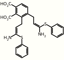 NC(=CCc1ccc(C(=O)O)c(C(=O)O)c1CC=C(N)Sc1ccccc1)Sc1ccccc1